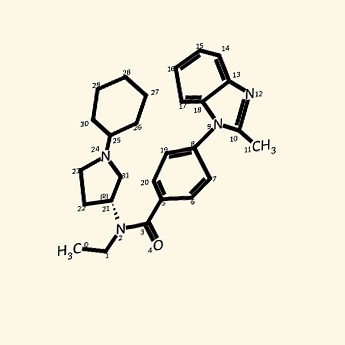 CCN(C(=O)c1ccc(-n2c(C)nc3ccccc32)cc1)[C@@H]1CCN(C2CCCCC2)C1